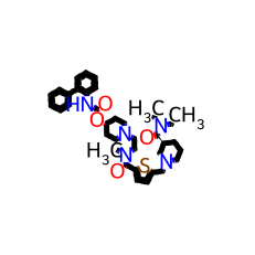 CCN(CC)C(=O)[C@@H]1CCCN(Cc2ccc(C(=O)N(C)CCN3CCC(OC(=O)Nc4ccccc4-c4ccccc4)CC3)s2)C1